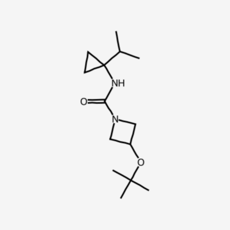 CC(C)C1(NC(=O)N2CC(OC(C)(C)C)C2)CC1